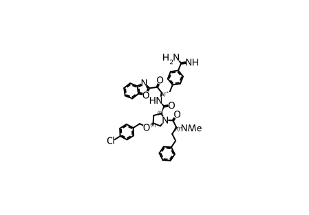 CN[C@H](CCc1ccccc1)C(=O)N1C[C@H](OCc2ccc(Cl)cc2)C[C@H]1C(=O)N[C@@H](Cc1ccc(C(=N)N)cc1)C(=O)c1nc2ccccc2o1